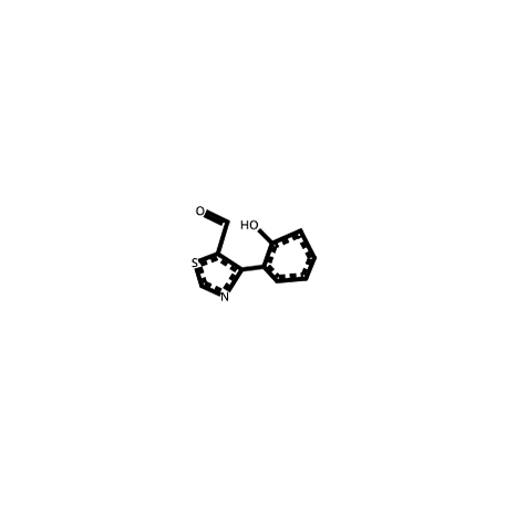 O=Cc1scnc1-c1ccccc1O